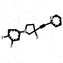 Fc1ccc(N2CCC(F)(C#Cc3ccccn3)C2)cc1F